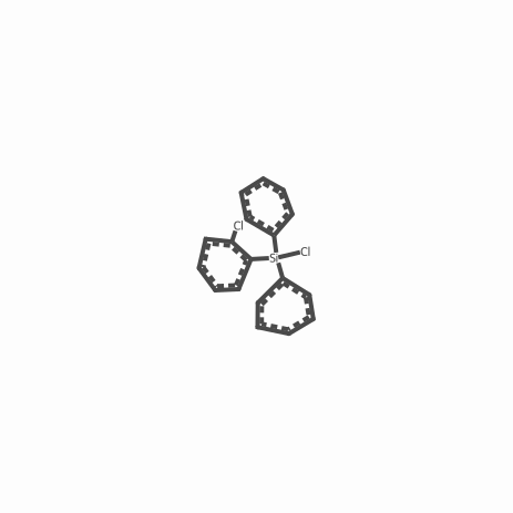 Clc1ccccc1[Si](Cl)(c1ccccc1)c1ccccc1